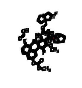 C#Cc1c(F)ccc2cc(OC(=O)OC)cc(-c3c(F)c(OC)c4c(N5CC6CCC(C5)N6C(=O)OC)nc(OC[C@@]56CCCN5C[C@H](F)C6)nc4c3F)c12.O=CO